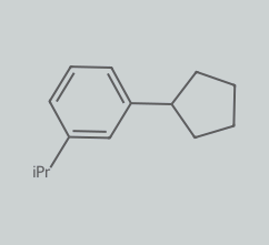 CC(C)c1cccc(C2CCCC2)c1